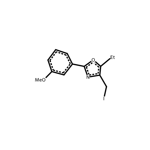 CCc1oc(-c2cccc(OC)c2)nc1CI